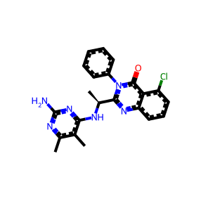 Cc1nc(N)nc(N[C@@H](C)c2nc3cccc(Cl)c3c(=O)n2-c2ccccc2)c1C